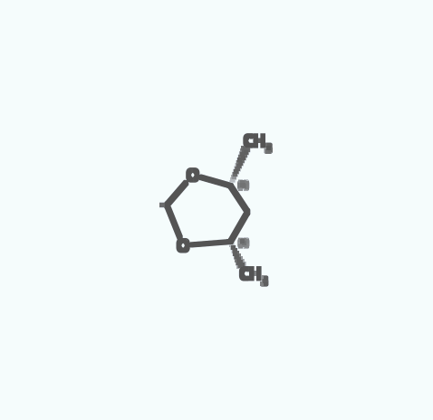 C[C@@H]1C[C@H](C)O[CH]O1